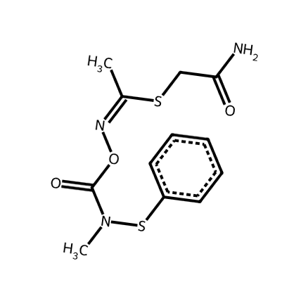 CC(=NOC(=O)N(C)Sc1ccccc1)SCC(N)=O